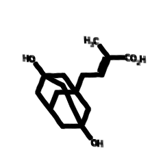 CC(=CCC12CC3CC(O)(CC(O)(C3)C1)C2)C(=O)O